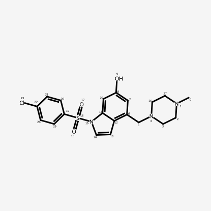 CN1CCN(Cc2cc(O)cc3c2ccn3S(=O)(=O)c2ccc(Cl)cc2)CC1